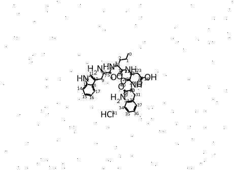 CCC[C@H](NC(=O)[C@@H](N)Cc1c[nH]c2ccccc12)C(=O)N[C@@H](CC(=O)O)C(=O)N[C@@H](Cc1ccccc1)C(N)=O.Cl